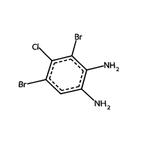 Nc1cc(Br)c(Cl)c(Br)c1N